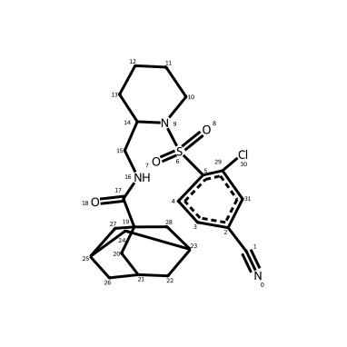 N#Cc1ccc(S(=O)(=O)N2CCCCC2CNC(=O)C23CC4CC(CC(C4)C2)C3)c(Cl)c1